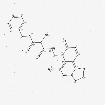 Cc1cc2c(c3ccc(=O)n(CNC(=O)C(N)C(=O)OCc4ccccc4)c13)OCC2